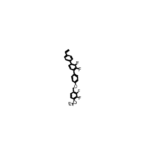 C=Cc1ccc(-c2ccc(-c3ccc(OCc4ccc(OCC)c(F)c4F)cc3)c(F)c2F)cc1